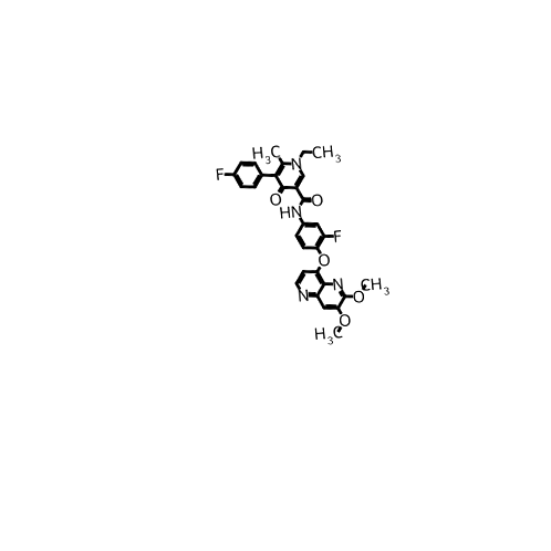 CCn1cc(C(=O)Nc2ccc(Oc3ccnc4cc(OC)c(OC)nc34)c(F)c2)c(=O)c(-c2ccc(F)cc2)c1C